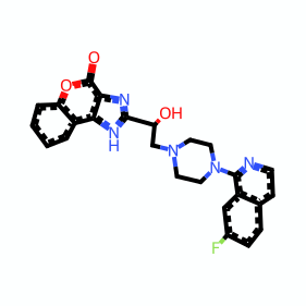 O=c1oc2ccccc2c2[nH]c(C(O)CN3CCN(c4nccc5ccc(F)cc45)CC3)nc12